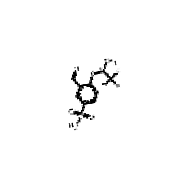 C[C@H](Oc1ccc(S(C)(=O)=O)cc1C=O)C(F)(F)F